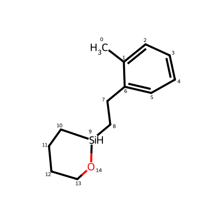 Cc1ccccc1CC[SiH]1CCCCO1